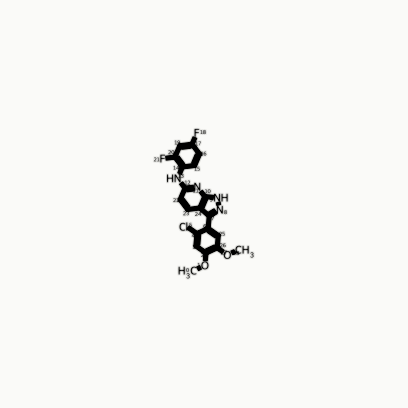 COc1cc(Cl)c(-c2n[nH]c3nc(Nc4ccc(F)cc4F)ccc23)cc1OC